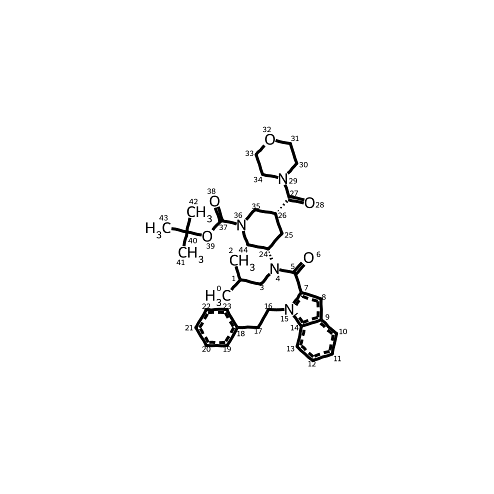 CC(C)CN(C(=O)c1cc2ccccc2n1CCc1ccccc1)[C@H]1C[C@@H](C(=O)N2CCOCC2)CN(C(=O)OC(C)(C)C)C1